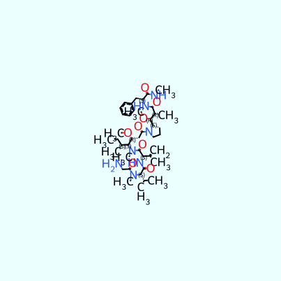 C=C(C)[C@H](NC(=O)[C@H](C(C)C)N(C)C(=O)CN)C(=O)N(C)[C@@H]([C@@H](C)CC)[C@@H](CC(=O)N1CCC[C@H]1[C@H](OC)[C@@H](C)C(=O)N[C@@H](Cc1ccccc1)C(=O)NC)OC